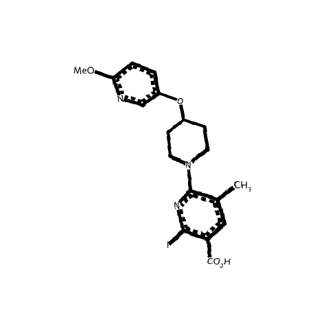 COc1ccc(OC2CCN(c3nc(I)c(C(=O)O)cc3C)CC2)cn1